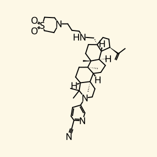 C=C(C)[C@@H]1CC[C@]2(CNCCCN3CCS(=O)(=O)CC3)CC[C@]3(C)[C@H](CC[C@@H]4[C@@]5(C)CCN(c6ccc(C#N)nc6)C(C)(C)[C@@H]5CC[C@]43C)[C@@H]12